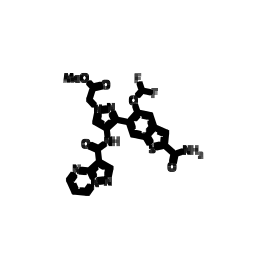 COC(=O)Cn1cc(NC(=O)c2cnn3cccnc23)c(-c2cc3sc(C(N)=O)cc3cc2OC(F)F)n1